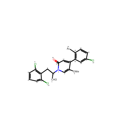 COc1cn(C(C=O)Cc2c(Cl)cccc2Cl)c(=O)cc1-c1cc(Cl)ccc1C(C)=O